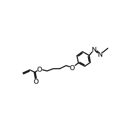 C=CC(=O)OCCCCOc1ccc(N=NC)cc1